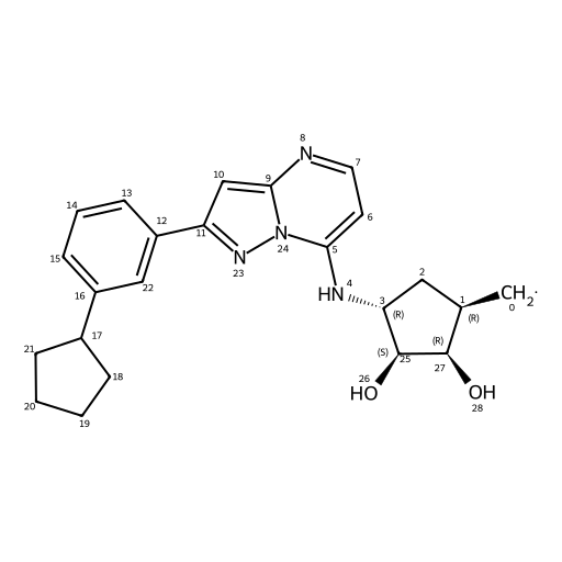 [CH2][C@@H]1C[C@@H](Nc2ccnc3cc(-c4cccc(C5CCCC5)c4)nn23)[C@H](O)[C@@H]1O